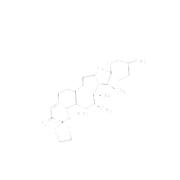 CC1CCC2(OC1)OC1CC3C4CCC5=CC(=O)C6(C[C@]5(C)C4C[C@H](O)[C@]3(C)C1[C@@H]2C)SCCS6